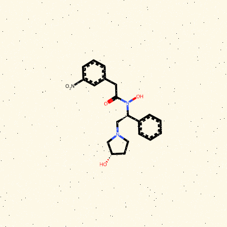 O=C(Cc1cccc([N+](=O)[O-])c1)N(O)[C@H](CN1CC[C@H](O)C1)c1ccccc1